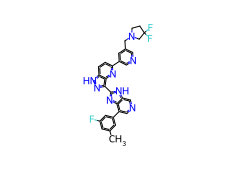 Cc1cc(F)cc(-c2cncc3[nH]c(-c4n[nH]c5ccc(-c6cncc(CN7CCC(F)(F)C7)c6)nc45)nc23)c1